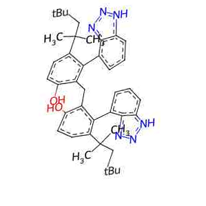 CC(C)(C)CC(C)(C)c1ccc(O)c(Cc2c(O)ccc(C(C)(C)CC(C)(C)C)c2-c2cccc3[nH]nnc23)c1-c1cccc2[nH]nnc12